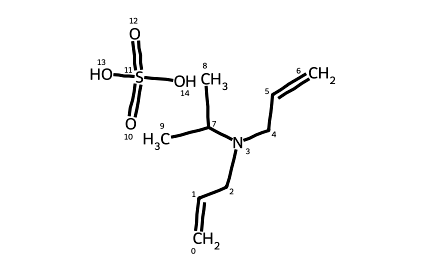 C=CCN(CC=C)C(C)C.O=S(=O)(O)O